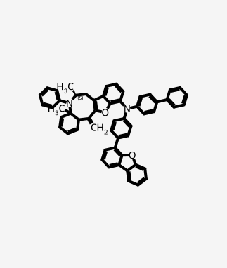 C=C1c2oc3c(N(c4ccc(-c5ccccc5)cc4)c4ccc(-c5cccc6c5oc5ccccc56)cc4)cccc3c2C[C@H](C)N(c2ccccc2)C2(C)C=CC=CC12